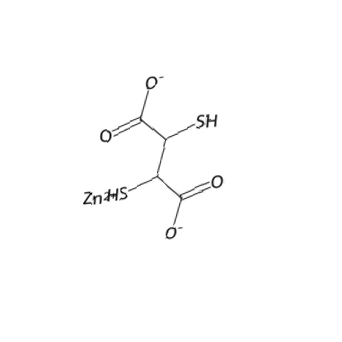 O=C([O-])C(S)C(S)C(=O)[O-].[Zn+2]